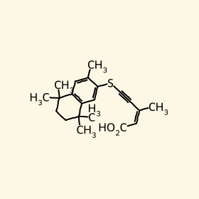 CC(C#CSc1cc2c(cc1C)C(C)(C)CCC2(C)C)=CC(=O)O